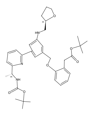 C[C@@H](NC(=O)OC(C)(C)C)c1cccc(-c2cc(COc3ccccc3CC(=O)OC(C)(C)C)cc(NC[C@H]3CCCO3)c2)n1